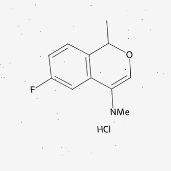 CNC1=COC(C)c2ccc(F)cc21.Cl